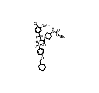 COc1cc(C(F)(F)C(NS(=O)(=O)c2ccc(OCC3CCCCC3)cc2)C(=O)N2CCC(NC(=O)OC(C)(C)C)CC2)ccc1Cl